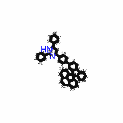 C1=C(c2ccc(-c3ccc4c(c3)C3(c5ccccc5-4)c4cccc5ccc6cccc3c6c45)cc2)N=C(c2ccccc2)NC1c1ccccc1